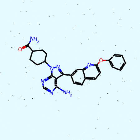 NC(=O)C1CCC(n2nc(-c3ccc4ccc(Oc5ccccc5)nc4c3)c3c(N)ncnc32)CC1